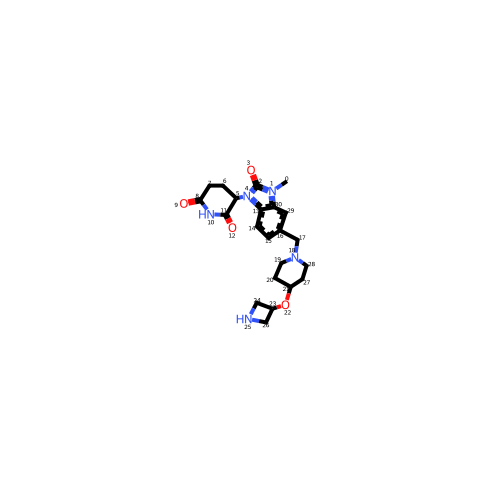 Cn1c(=O)n(C2CCC(=O)NC2=O)c2ccc(CN3CCC(OC4CNC4)CC3)cc21